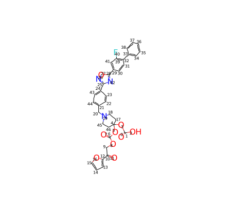 O=C(O)OC1(OC(=O)OCC(=O)c2ccco2)CCN(Cc2ccc(-c3noc(-c4ccc(-c5ccccc5)c(F)c4)n3)cc2)CC1